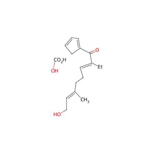 CCC(=CCC/C(C)=C/CO)C(=O)C1=CC=CC1.O=C(O)O